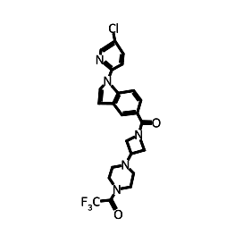 O=C(c1ccc2c(ccn2-c2ccc(Cl)cn2)c1)N1CC(N2CCN(C(=O)C(F)(F)F)CC2)C1